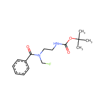 CC(C)(C)OC(=O)NCCN(CF)C(=O)c1ccccc1